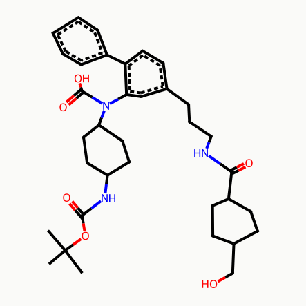 CC(C)(C)OC(=O)NC1CCC(N(C(=O)O)c2cc(CCCNC(=O)C3CCC(CO)CC3)ccc2-c2ccccc2)CC1